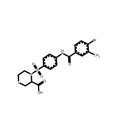 Cc1cc(C(=O)Nc2ccc(S(=O)(=O)N3CCSCC3C(=O)O)cc2)ccc1Br